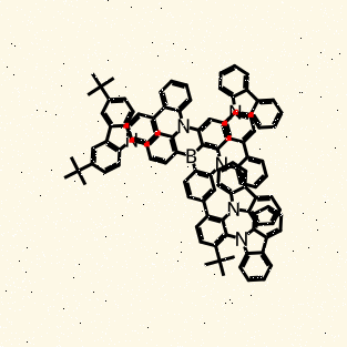 CC(C)(C)c1ccc2c(c1)c1cc(C(C)(C)C)ccc1n2-c1ccc2c(c1)N(c1ccccc1-c1ccccc1)c1cc(-n3c4ccccc4c4ccccc43)cc3c1B2c1ccc(-c2ccc(C(C)(C)C)c(-n4c5ccccc5c5ccccc54)c2-n2c4ccccc4c4ccccc42)cc1N3c1ccccc1-c1ccccc1